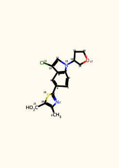 Cc1nc(-c2ccc3c(c2)c(Cl)cn3C2CCOC2)sc1C(=O)O